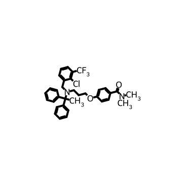 CN(C)C(=O)c1ccc(OCCCN(Cc2cccc(C(F)(F)F)c2Cl)C(C)(c2ccccc2)c2ccccc2)cc1